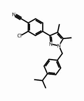 Cc1c(-c2ccc(C#N)c(Cl)c2)nn(Cc2ccc(C(C)C)cc2)c1C